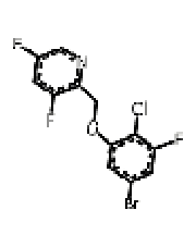 Fc1cnc(COc2cc(Br)cc(F)c2Cl)c(F)c1